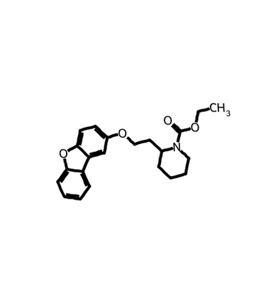 CCOC(=O)N1CCCCC1CCOc1ccc2oc3ccccc3c2c1